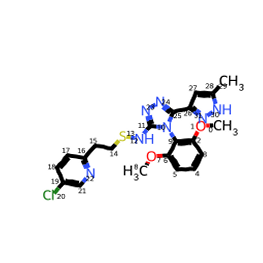 COc1cccc(OC)c1-n1c(NSCCc2ccc(Cl)cn2)nnc1-c1cc(C)[nH]n1